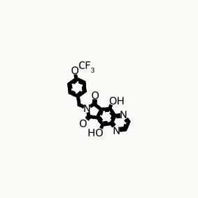 O=C1c2c(c(O)c3nccnc3c2O)C(=O)N1Cc1ccc(OC(F)(F)F)cc1